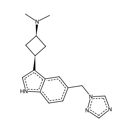 CN(C)[C@H]1C[C@@H](c2c[nH]c3ccc(Cn4cncn4)cc32)C1